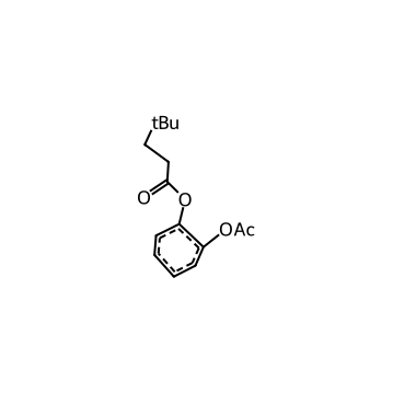 CC(=O)Oc1ccccc1OC(=O)CCC(C)(C)C